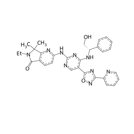 CCN1C(=O)c2ccc(Nc3ncc(-c4nc(-c5ccccn5)no4)c(N[C@H](CO)c4ccccc4)n3)nc2C1(C)C